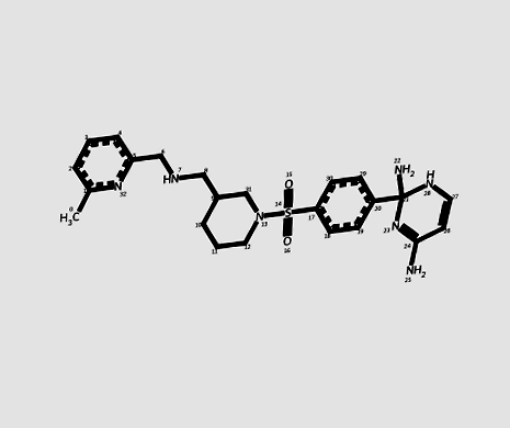 Cc1cccc(CNCC2CCCN(S(=O)(=O)c3ccc(C4(N)N=C(N)C=CN4)cc3)C2)n1